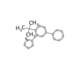 CC(C)(C)c1[c]cc(-c2ccccc2)cc1-c1cccs1